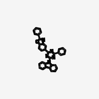 c1ccc(-c2nc(-c3ccc4oc(-c5ccccc5)nc4c3)nc(-n3c4ccccc4c4ccccc43)n2)cc1